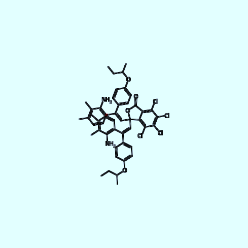 CCC(C)Oc1ccc(C(=CC2(C=C(c3ccc(OC(C)CC)cc3)c3ccc(C)c(C)c3N)OC(=O)c3c(Cl)c(Cl)c(Cl)c(Cl)c32)c2ccc(C)c(C)c2N)cc1